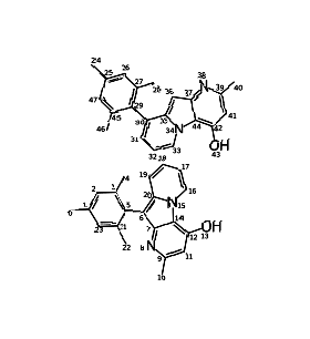 Cc1cc(C)c(-c2c3nc(C)cc(O)c3n3ccccc23)c(C)c1.Cc1cc(C)c(-c2cccn3c2cc2nc(C)cc(O)c23)c(C)c1